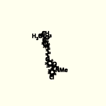 CNCc1oc2cc(OCCCCCN3CCN(CC(=O)N(C)C)CC3)ccc2c1-c1ccc(Cl)cc1